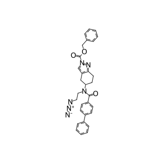 [N-]=[N+]=NCCN(C(=O)c1ccc(-c2ccccc2)cc1)C1CCc2nn(C(=O)OCc3ccccc3)cc2C1